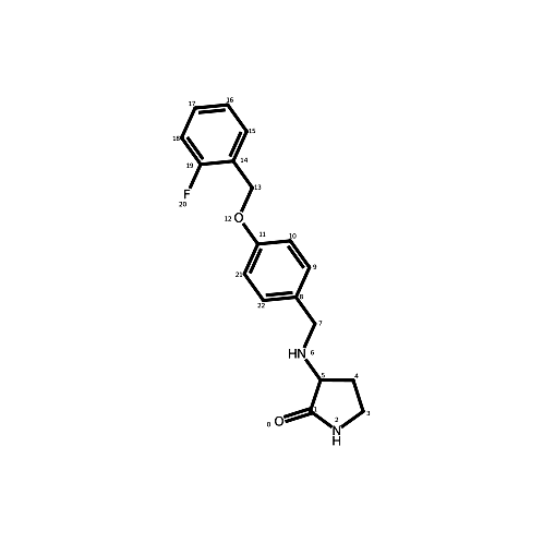 O=C1NCCC1NCc1ccc(OCc2ccccc2F)cc1